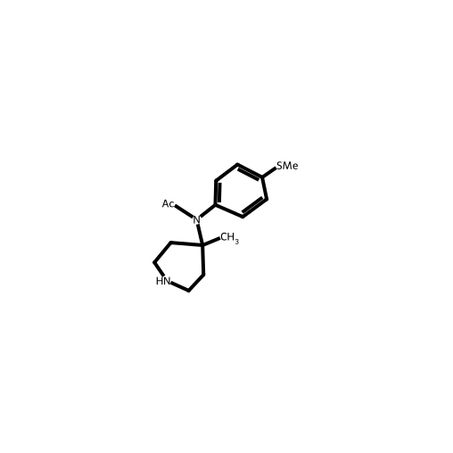 CSc1ccc(N(C(C)=O)C2(C)CCNCC2)cc1